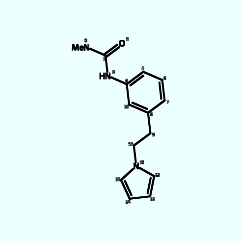 CNC(=O)Nc1cccc(CCn2cccc2)c1